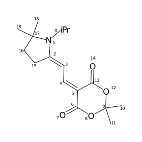 CC(C)N1/C(=C/C=C2C(=O)OC(C)(C)OC2=O)CCC1(C)C